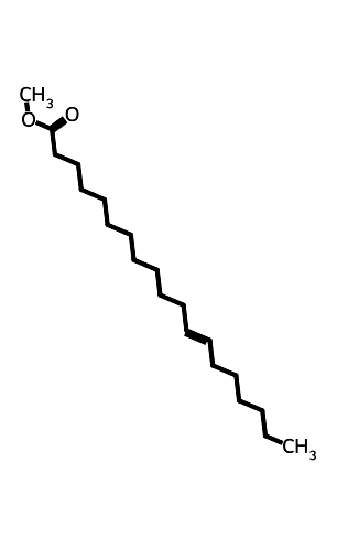 CCCCCCC=CCCCCCCCCCCC(=O)OC